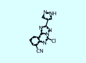 N#Cc1cccc2c1nc(Cl)n1nc(-c3cn[nH]c3)nc21